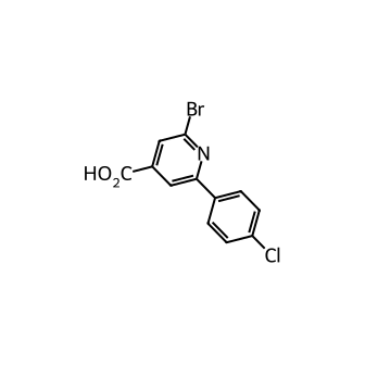 O=C(O)c1cc(Br)nc(-c2ccc(Cl)cc2)c1